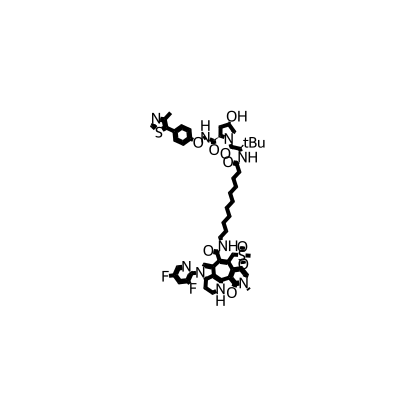 Cc1ncsc1-c1ccc(ONC(=O)[C@@H]2C[C@@H](O)CN2C(=O)[C@@H](NC(=O)CCCCCCCCCCNC(=O)C2=C(CS(C)(=O)=O)c3ccn(C)c(=O)c3C3=C4C2=CN(c2ncc(F)cc2F)C4CCN3)C(C)(C)C)cc1